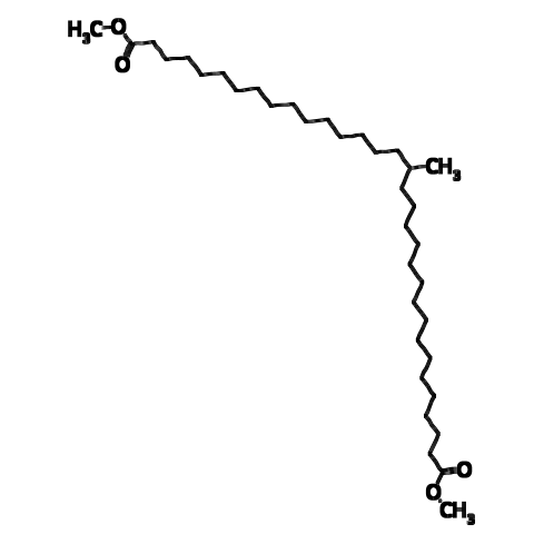 COC(=O)CCCCCCCCCCCCCCCC(C)CCCCCCCCCCCCCCCC(=O)OC